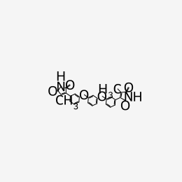 CC1=C(c2cccc(Oc3cccc(Oc4cccc(C5=C(C)C(=O)NC5=O)c4)c3)c2)C(=O)NC1=O